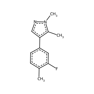 Cc1ccc(-c2cnn(C)c2C)cc1F